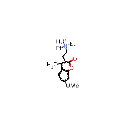 CC[N+](C)(CC)CCc1c(C)c2ccc(OC)cc2oc1=O